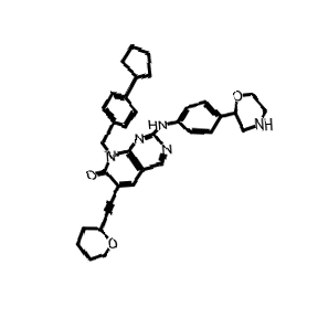 O=c1c(C#CC2CCCCO2)cc2cnc(Nc3ccc(C4CNCCO4)cc3)nc2n1Cc1ccc(C2CCCC2)cc1